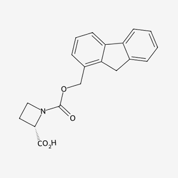 O=C(O)[C@@H]1CCN1C(=O)OCc1cccc2c1Cc1ccccc1-2